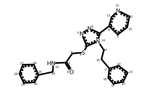 O=C(CSc1nnc(-c2cccnc2)n1CCc1ccccc1)NCc1ccccc1